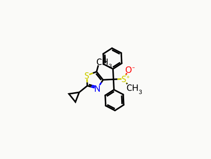 Cc1sc(C2CC2)nc1C(c1ccccc1)(c1ccccc1)[S+](C)[O-]